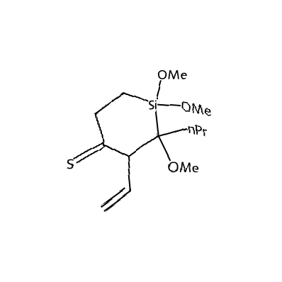 C=CC1C(=S)CC[Si](OC)(OC)C1(CCC)OC